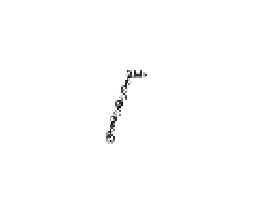 C=CC(=O)OCCOCCOCCOCCOCCOCCOCCOCCOC